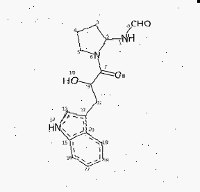 O=CNC1CCCN1C(=O)C(O)Cc1c[nH]c2ccccc12